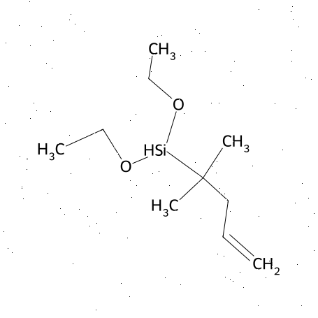 C=CCC(C)(C)[SiH](OCC)OCC